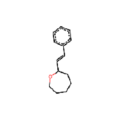 C(=CC1CCCCCO1)c1ccccc1